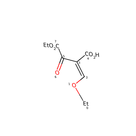 CCOC=C(C(=O)O)C(=O)C(=O)OCC